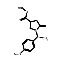 COc1ccc([C@H](C)N2CC(C(=O)OC(C)(C)C)CC2=O)cc1